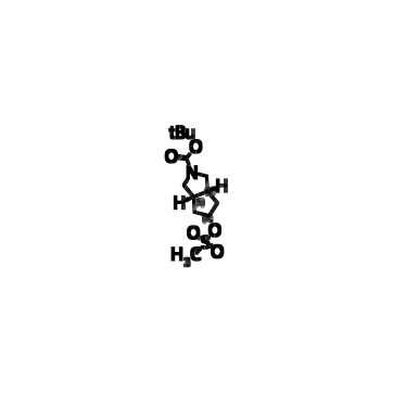 CC(C)(C)OC(=O)N1C[C@H]2C[C@@H](OS(C)(=O)=O)C[C@H]2C1